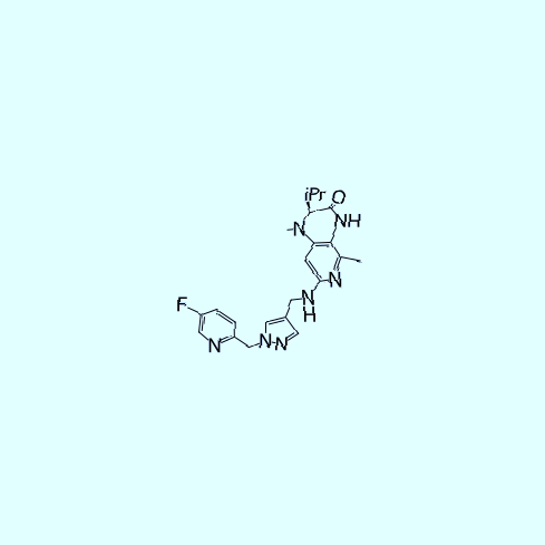 Cc1nc(NCc2cnn(Cc3ccc(F)cn3)c2)cc2c1NC(=O)[C@H](C(C)C)N2C